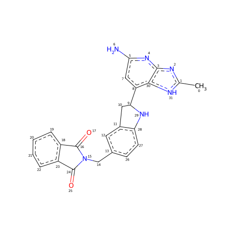 Cc1nc2nc(N)cc(C3Cc4cc(CN5C(=O)c6ccccc6C5=O)ccc4N3)c2[nH]1